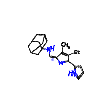 CCC1=C(C)/C(=C\NC23CC4CC(CC(C4)C2)C3)N=C1c1ccc[nH]1